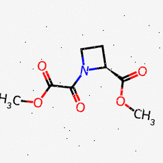 COC(=O)C(=O)N1CC[C@H]1C(=O)OC